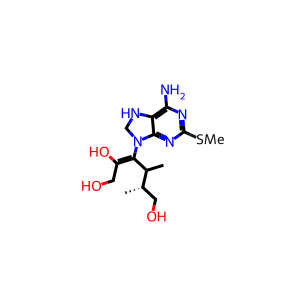 CSc1nc(N)c2c(n1)N(/C(=C(\O)CO)C(C)[C@@H](C)CO)CN2